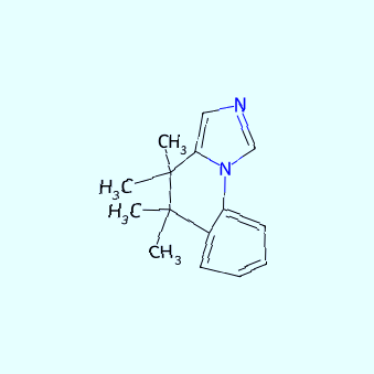 CC1(C)c2ccccc2-n2cncc2C1(C)C